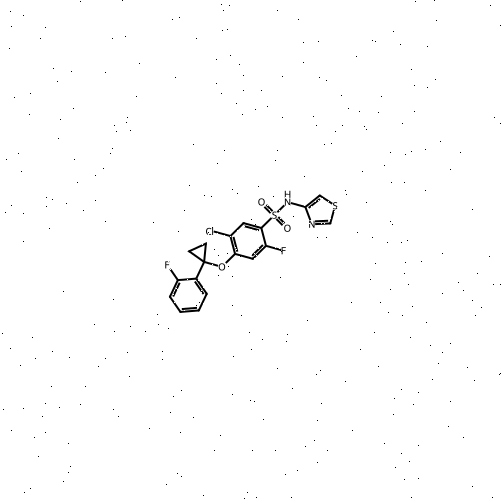 O=S(=O)(Nc1cscn1)c1cc(Cl)c(OC2(c3ccccc3F)CC2)cc1F